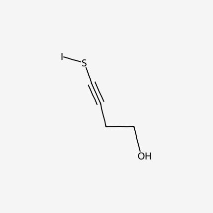 OCCC#CSI